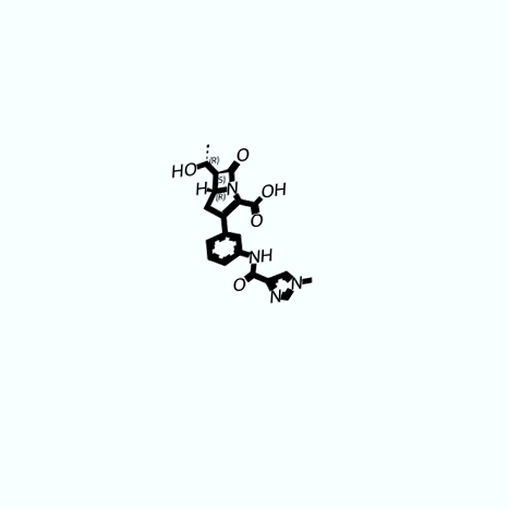 C[C@@H](O)[C@H]1C(=O)N2C(C(=O)O)=C(c3cccc(NC(=O)c4cn(C)cn4)c3)C[C@H]12